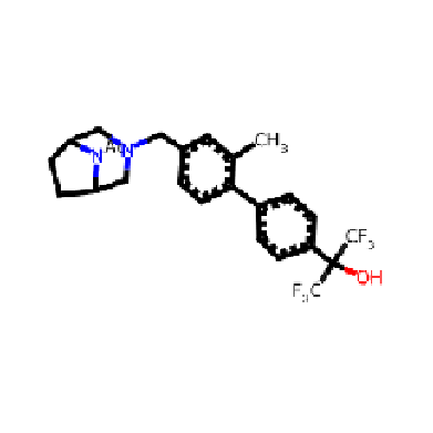 CC(=O)N1C2CCC1CN(Cc1ccc(-c3ccc(C(O)(C(F)(F)F)C(F)(F)F)cc3)c(C)c1)C2